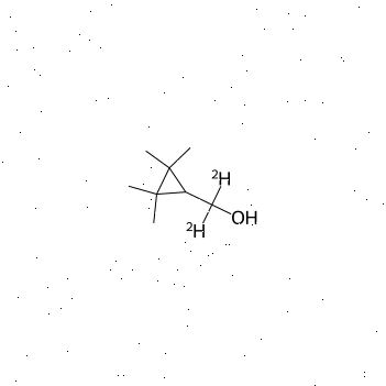 [2H]C([2H])(O)C1C(C)(C)C1(C)C